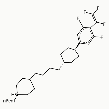 CCCCC[SiH]1CCC(CCCC[C@H]2CC[C@H](c3cc(F)c(C(F)=C(F)F)c(F)c3)CC2)CC1